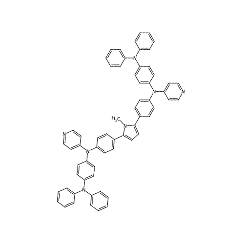 Cn1c(-c2ccc(N(c3ccncc3)c3ccc(N(c4ccccc4)c4ccccc4)cc3)cc2)ccc1-c1ccc(N(c2ccncc2)c2ccc(N(c3ccccc3)c3ccccc3)cc2)cc1